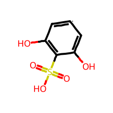 O=S(=O)(O)c1c(O)c[c]cc1O